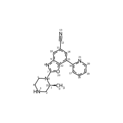 C[C@H]1CNCCN1c1nc2cc(C#N)cc(-c3ccccn3)c2o1